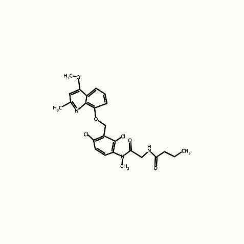 CCCC(=O)NCC(=O)N(C)c1ccc(Cl)c(COc2cccc3c(OC)cc(C)nc23)c1Cl